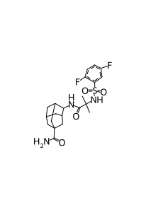 CC(C)(NS(=O)(=O)c1cc(F)ccc1F)C(=O)NC1C2CC3CC1CC(C(N)=O)(C3)C2